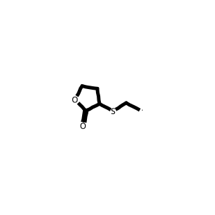 [CH2]CSC1CCOC1=O